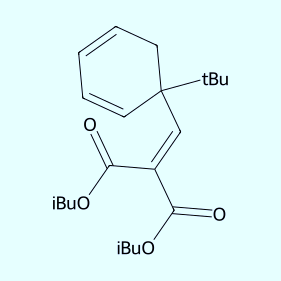 CC(C)COC(=O)C(=CC1(C(C)(C)C)C=CC=CC1)C(=O)OCC(C)C